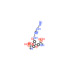 CC1(C)C=C(CS(=O)(=O)O)c2cc3c(cc2=N1)Oc1cc2c(cc1C=3c1ccc(C(=O)NCCCn3cc(CNCCCN=[N+]=[N-])nn3)cc1C(=O)O)C(CS(=O)(=O)O)=CC(C)(C)N2